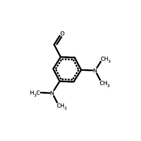 CN(C)c1cc(C=O)cc(N(C)C)c1